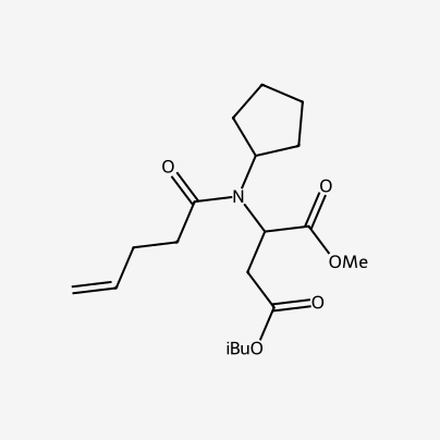 C=CCCC(=O)N(C1CCCC1)C(CC(=O)OCC(C)C)C(=O)OC